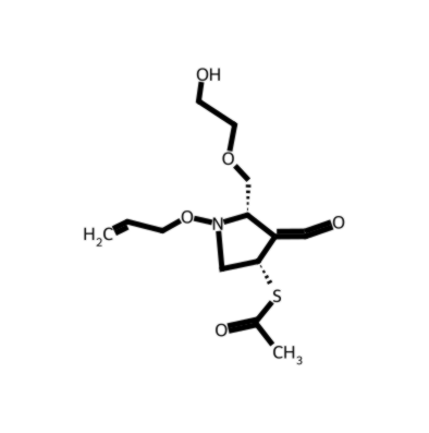 C=CCON1C[C@@H](SC(C)=O)C(=C=O)[C@H]1COCCO